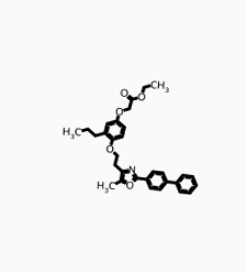 CCCc1cc(OCC(=O)OCC)ccc1OCCc1nc(-c2ccc(-c3ccccc3)cc2)oc1C